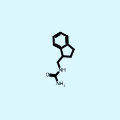 NC(=O)NCC1CCc2ccccc21